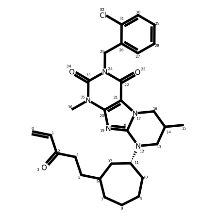 C=CC(=O)CCC1CCCC[C@@H](N2CC(C)Cn3c2nc2c3c(=O)n(Cc3ccccc3Cl)c(=O)n2C)C1